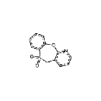 O=S1(=O)Cc2cccnc2Oc2ccccc21